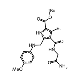 CCc1c(C(=O)OC(C)(C)C)[nH]c(CNc2ccc(OC)cc2)c1C(=O)NCC(N)=O